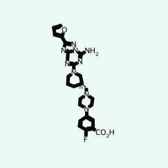 Nc1nc(N2CCC[C@@H](CN3CCN(c4ccc(F)c(C(=O)O)c4)CC3)C2)nc2nc(-c3ccco3)nn12